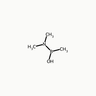 CB(O)N(C)C